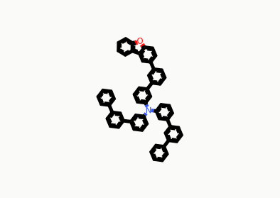 c1ccc(-c2cccc(-c3cccc(N(c4cccc(-c5cccc(-c6ccccc6)c5)c4)c4cccc(-c5cccc(-c6ccc7oc8ccccc8c7c6)c5)c4)c3)c2)cc1